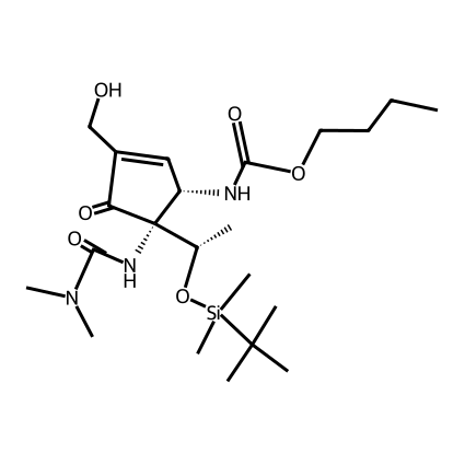 CCCCOC(=O)N[C@H]1C=C(CO)C(=O)[C@]1(NC(=O)N(C)C)[C@H](C)O[Si](C)(C)C(C)(C)C